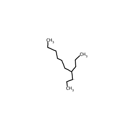 CC[CH]C(CCC)CCCCCC